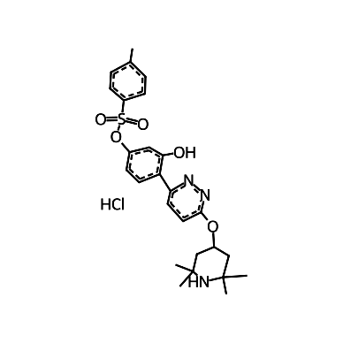 Cc1ccc(S(=O)(=O)Oc2ccc(-c3ccc(OC4CC(C)(C)NC(C)(C)C4)nn3)c(O)c2)cc1.Cl